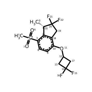 C[C@H]1c2c(S(C)(=O)=O)ccc(OC3CC(F)(F)C3)c2CC1(F)F